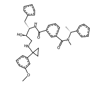 COc1cccc(C2(NC[C@@H](O)[C@H](Cc3ccccc3)NC(=O)c3cccc(C(=O)N(C)[C@H](C)c4ccccc4)c3)CC2)c1